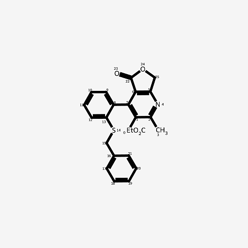 CCOC(=O)c1c(C)nc2c(c1-c1ccccc1SCc1ccccc1)C(=O)OC2